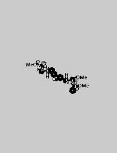 COC[C@H]1C[C@@H](c2ncc(-c3ccc4c(c3)COc3cc5c(ccc6nc([C@@H]7CC[C@H](C)N7C(=O)[C@@H](NC(=O)OC)C(C)C)[nH]c65)cc3-4)[nH]2)N(C[C@@H](NC(=O)OC)c2ccccc2)C1